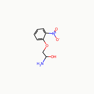 NC(O)COc1ccccc1[N+](=O)[O-]